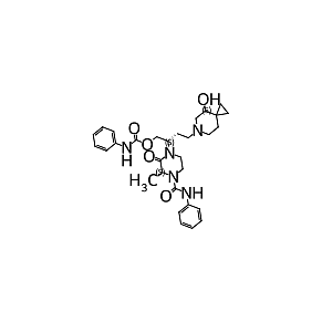 C[C@H]1C(=O)N([C@@H](CCN2CCC3(CC3)[C@H](O)C2)COC(=O)Nc2ccccc2)CCN1C(=O)Nc1ccccc1